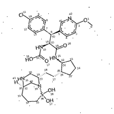 COc1ccc([C@H](c2ccc(Cl)cc2)[C@H](NC(=O)O)C(=O)N[C@H]2CCC[C@@H]2CC[C@H]2CN[C@@H]3CCCS(O)(O)N2C3)cn1